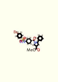 COC(=O)C1CC(c2ccccc2)N(C(=O)[C@H]2CC[C@H](NS(=O)(=O)c3ccc(Br)cc3)CC2)C1